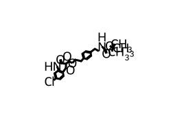 CC(C)(C)OC(=O)NCCc1ccc(CCOC(=O)C2C(=O)Nc3cc(Cl)ccc3C2=O)cc1